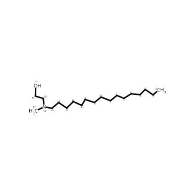 CCCCCCCCCCCCCCCCN(C)CCO